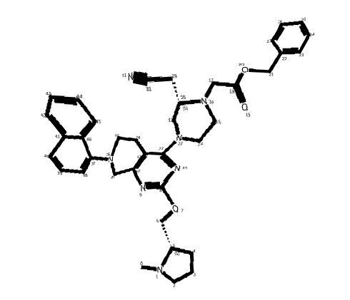 CN1CCC[C@H]1COc1nc2c(c(N3CCN(CC(=O)OCc4ccccc4)[C@@H](CC#N)C3)n1)CCN(c1cccc3ccccc13)C2